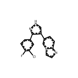 Fc1ccc(-c2n[nH]cc2-c2ccc3nccn3c2)cc1Cl